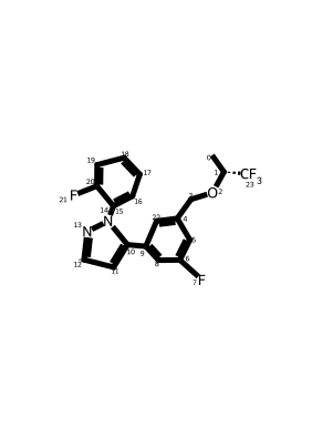 C[C@@H](OCc1cc(F)cc(-c2c[c]nn2-c2ccccc2F)c1)C(F)(F)F